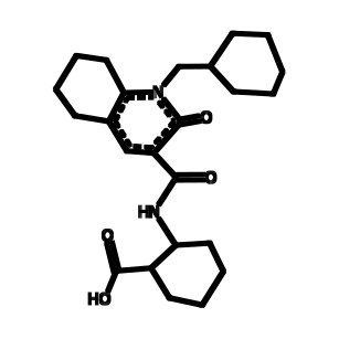 O=C(NC1CCCCC1C(=O)O)c1cc2c(n(CC3CCCCC3)c1=O)CCCC2